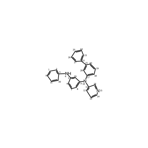 c1ccc(Nc2cccc(N(c3cccnc3)c3cccc(-c4ccccc4)c3)c2)cc1